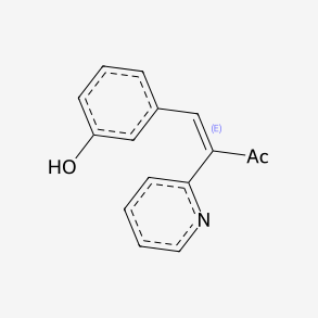 CC(=O)/C(=C/c1cccc(O)c1)c1ccccn1